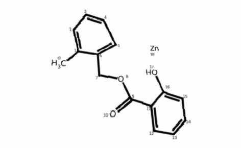 Cc1ccccc1COC(=O)c1ccccc1O.[Zn]